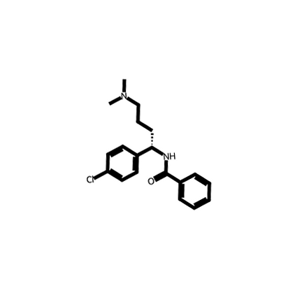 CN(C)CCC[C@H](NC(=O)c1ccccc1)c1ccc(Cl)cc1